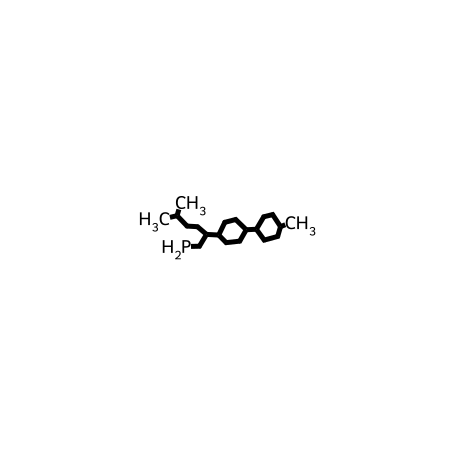 CC(C)CCC(CP)C1CCC(C2CCC(C)CC2)CC1